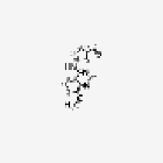 COc1cccc2c(NC3CCC(C=O)C3)ncnc12